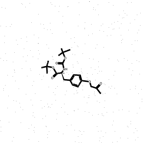 CC(=O)COc1ccc(C[C@H](NC(=O)OC(C)(C)C)C(=O)OC(C)(C)C)cc1